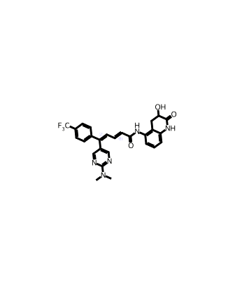 CN(C)c1ncc(/C(=C\C=C\C(=O)Nc2cccc3c2CC(O)C(=O)N3)c2ccc(C(F)(F)F)cc2)cn1